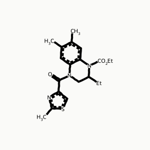 CCOC(=O)N1c2cc(C)c(C)cc2N(C(=O)c2csc(C)n2)CC1CC